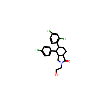 O=C1C2CCC(c3ccc(Cl)cc3Cl)C(c3ccc(Cl)cc3)C2CN1CCO